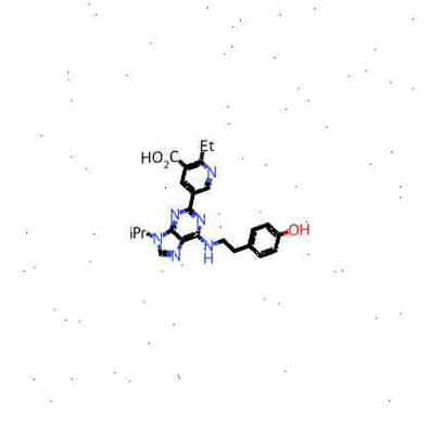 CCc1ncc(-c2nc(NCCc3ccc(O)cc3)c3ncn(C(C)C)c3n2)cc1C(=O)O